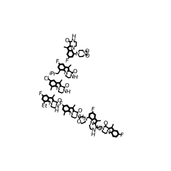 CCc1cc(F)cc2c(C)c3n(c12)CCNC3=O.Cc1c2n(c3c(C)cc(Cl)cc13)CCNC2=O.Cc1c2n(c3c(C)cc(F)cc13)CCNC2=O.Cc1c2n(c3c(CC(C)C)cc(F)cc13)CCNC2=O.Cc1c2n(c3c(N4CCOCC4)cc(F)cc13)CCNC2=O.Cc1c2n(c3c(N4CCS(=O)(=O)CC4)cc(F)cc13)CCNC2=O.Cc1c2n(c3ccc(F)cc13)CCNC2=O